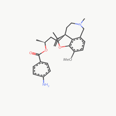 C=C(C)[C@@]12CCN(C)Cc3ccc(OC)c(c31)OC2C[C@H](C)OC(=O)c1ccc(N)cc1